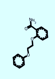 NC(=O)c1ccccc1OCCOc1ccccc1